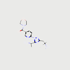 CC(N)c1nc(CC(C)(C)NC(=O)O)nn1-c1ccc(C(=O)N2CCOCC2)cn1